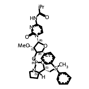 CC[C@H]1O[C@@H](n2ccc(NC(=O)C(C)C)nc2=O)[C@@H](OC)C1O[P@@]1O[C@H](C[Si](C)(c2ccccc2)c2ccccc2)[C@@H]2CCCN21